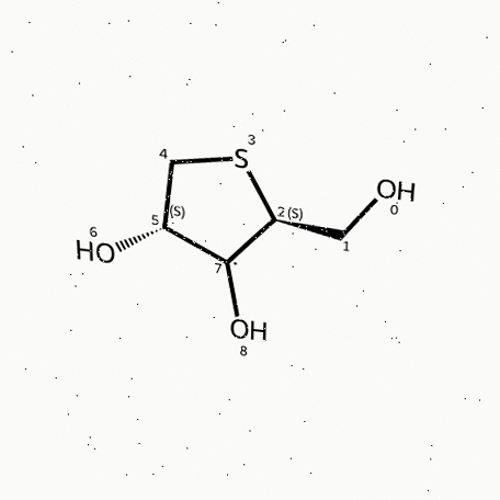 OC[C@@H]1SC[C@@H](O)[C]1O